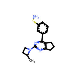 CC1CCN1c1nc2c(c(-c3cccc(SN)c3)n1)CCC2